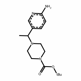 CC(c1ccc(N)nc1)N1CCN(C(=O)OC(C)(C)C)CC1